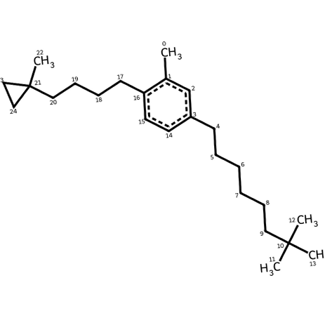 Cc1cc(CCCCCCC(C)(C)C)ccc1CCCCC1(C)CC1